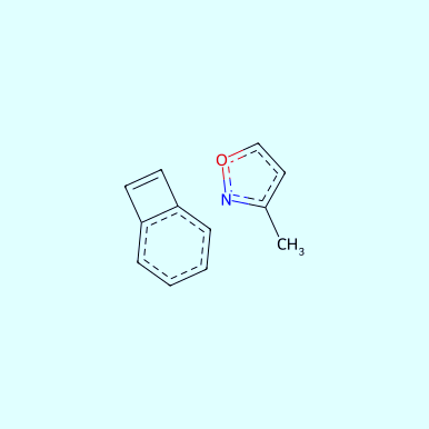 C1=Cc2ccccc21.Cc1ccon1